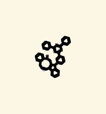 C1=C\c2c(n(-c3cccc(-c4nc(-c5ccccc5)nc(-c5ccccc5)n4)c3)c3ccccc23)CNc2ccccc2C/1